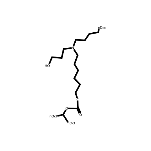 CCCCCCCCCCCCCCN(CCCO)CCCCCCCC(=O)OC(CCCCCCCC)CCCCCCCC